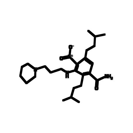 CC(C)CCc1cc(C(N)=O)c(CCC(C)C)c(NCCCN2CCCCC2)c1[N+](=O)[O-]